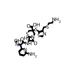 NCCSCc1ncsc1SC1(C(=O)O)CS[C@@H]2[C@H](NC(=O)/C(=N\O)c3cccc(N)n3)C(=O)N2C1